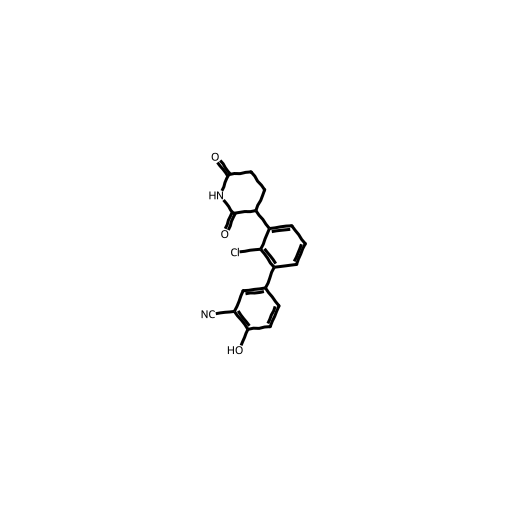 N#Cc1cc(-c2cccc(C3CCC(=O)NC3=O)c2Cl)ccc1O